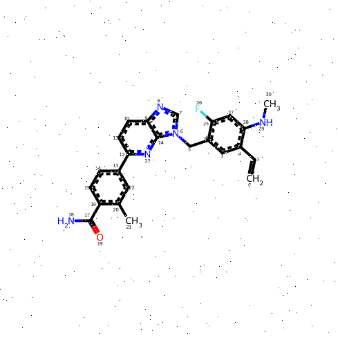 C=Cc1cc(Cn2cnc3ccc(-c4ccc(C(N)=O)c(C)c4)nc32)c(F)cc1NC